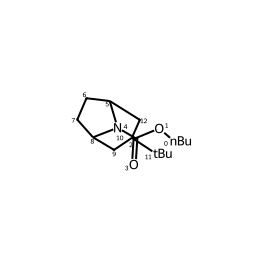 CCCCOC(=O)N1C2CCC1CC(C(C)(C)C)C2